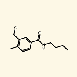 CCCCNC(=O)c1ccc(C)c(CCl)c1